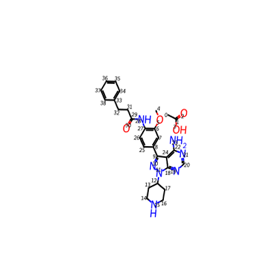 CC(=O)O.COc1cc(-c2nn(C3CCNCC3)c3ncnc(N)c23)ccc1NC(=O)CCc1ccccc1